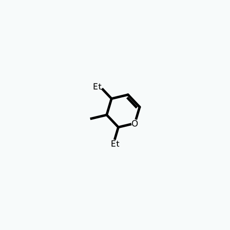 CCC1C=COC(CC)C1C